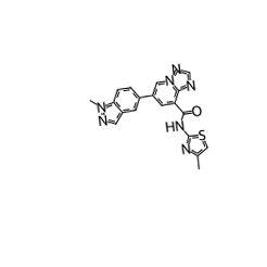 Cc1csc(NC(=O)c2cc(-c3ccc4c(cnn4C)c3)cn3ncnc23)n1